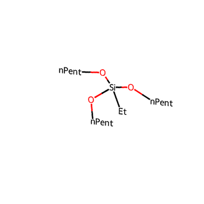 CCCCCO[Si](CC)(OCCCCC)OCCCCC